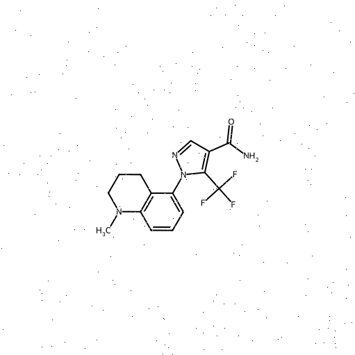 CN1CCCc2c1cccc2-n1ncc(C(N)=O)c1C(F)(F)F